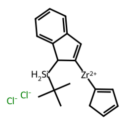 CC(C)(C)[SiH2]C1[C]([Zr+2][C]2=CC=CC2)=Cc2ccccc21.[Cl-].[Cl-]